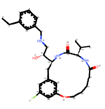 CCc1cccc(CNC[C@@H](O)[C@@H]2Cc3cc(F)cc(c3)OCCCCC(=O)N[C@H](C(C)C)C(=O)N2)c1